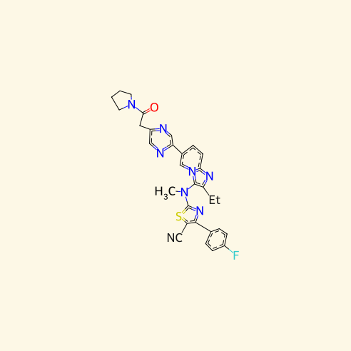 CCc1nc2ccc(-c3cnc(CC(=O)N4CCCC4)cn3)cn2c1N(C)c1nc(-c2ccc(F)cc2)c(C#N)s1